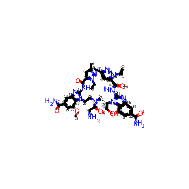 CCn1nc(C)cc1C(=O)Nc1nc2cc(C(N)=O)cc(OC)c2n1CCN(C[C@H]1COc2cc(C(N)=O)cc3nc(NC(=O)c4cc(C)nn4CC)n1c23)C(=O)CN